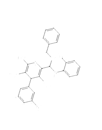 CCOC(=O)C1=C(C)NC(C(Nc2ccccc2C(=O)O)SCc2ccccc2)=C(C(=O)OCC)C1c1cccc([N+](=O)[O-])c1